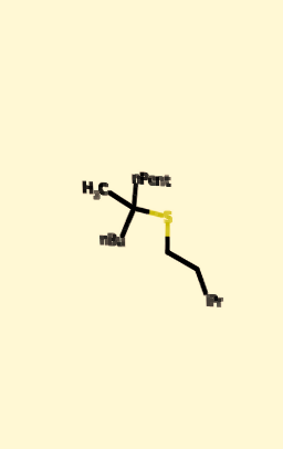 CCCCCC(C)(CCCC)SCCC(C)C